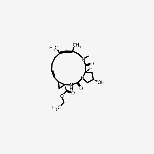 CCOC(=O)[C@@]12CC1/C=C\CCC(C)=C=C(C)CN(I)C(=O)[C@@H]1C[C@@H](O)CN1C(=O)N2